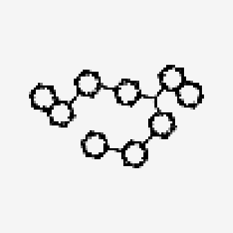 c1ccc(-c2cccc(-c3cccc(N(c4ccc(-c5cccc(-c6cccc7ccccc67)c5)cc4)c4cccc5ccccc45)c3)c2)cc1